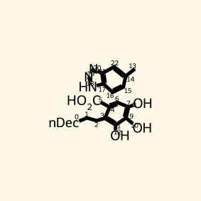 CCCCCCCCCCCCc1c(C(=O)O)cc(O)c(O)c1O.Cc1ccc2[nH]nnc2c1